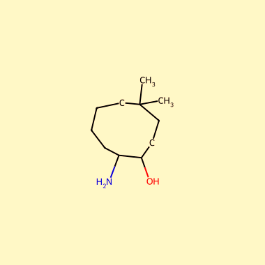 CC1(C)CCCCC(N)C(O)CC1